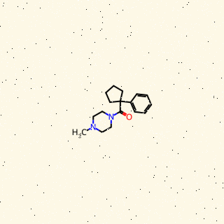 CN1CCN(C(=O)C2(c3ccccc3)CCCC2)CC1